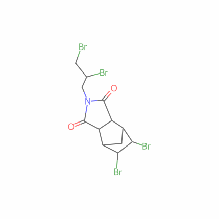 O=C1C2C3CC(C(Br)C3Br)C2C(=O)N1CC(Br)CBr